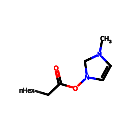 CCCCCCCC(=O)ON1C=CN(C)C1